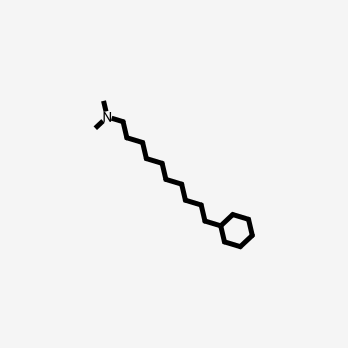 CN(C)CCCCCCCCCCC1CCCCC1